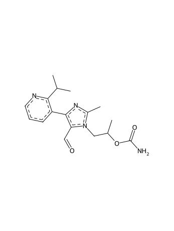 Cc1nc(-c2cccnc2C(C)C)c(C=O)n1CC(C)OC(N)=O